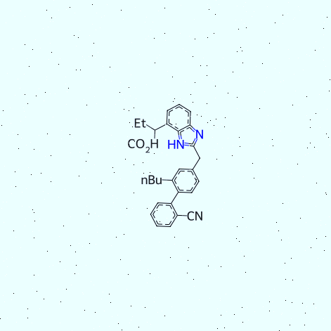 CCCCc1cc(Cc2nc3cccc(C(CC)C(=O)O)c3[nH]2)ccc1-c1ccccc1C#N